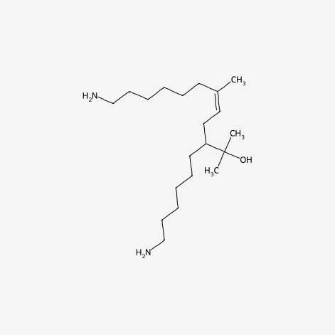 CC(=CCC(CCCCCCN)C(C)(C)O)CCCCCCN